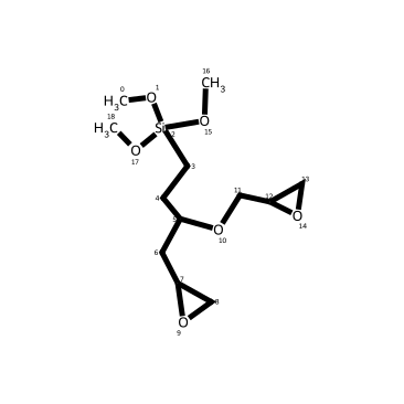 CO[Si](CCC(CC1CO1)OCC1CO1)(OC)OC